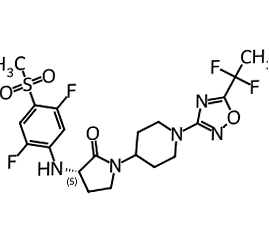 CC(F)(F)c1nc(N2CCC(N3CC[C@H](Nc4cc(F)c(S(C)(=O)=O)cc4F)C3=O)CC2)no1